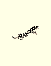 CNc1nccc(Sc2cnc(N3CCC4(CC3)Cc3ccc(P(C)(C)=O)cc3[C@H]4N)cn2)c1Cl